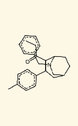 CCC(=O)C1C(c2ccc(C)cc2)CC2CCC1N(Cc1ccccc1)C2